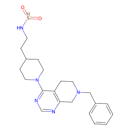 O=[SH](=O)NCCC1CCN(c2ncnc3c2CCN(Cc2ccccc2)C3)CC1